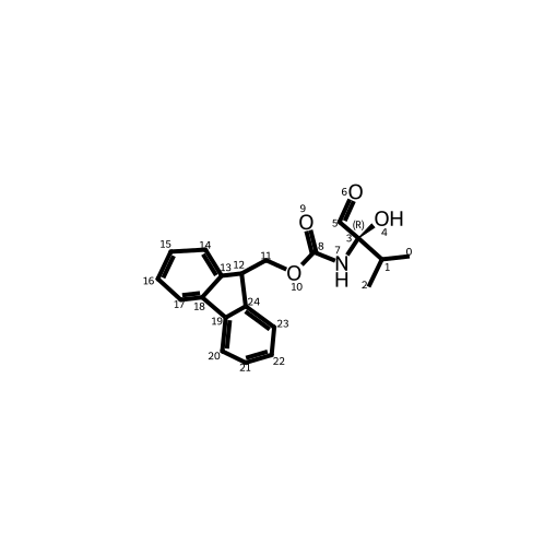 CC(C)[C@@](O)(C=O)NC(=O)OCC1c2ccccc2-c2ccccc21